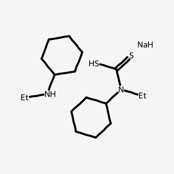 CCN(C(=S)S)C1CCCCC1.CCNC1CCCCC1.[NaH]